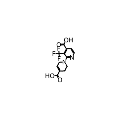 O=C(O)C1=CCN(c2nccc(C(=O)O)c2C(F)(F)F)CC1